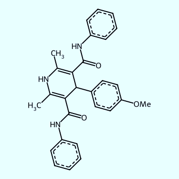 COc1ccc(C2C(C(=O)Nc3ccccc3)=C(C)NC(C)=C2C(=O)Nc2ccccc2)cc1